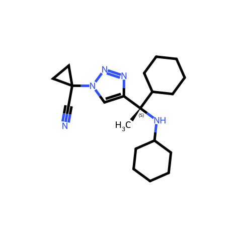 C[C@@](NC1CCCCC1)(c1cn(C2(C#N)CC2)nn1)C1CCCCC1